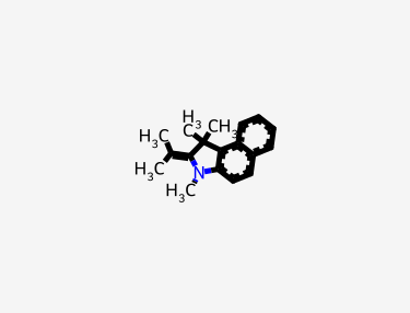 CC(C)=C1N(C)c2ccc3ccccc3c2C1(C)C